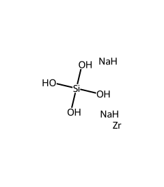 O[Si](O)(O)O.[NaH].[NaH].[Zr]